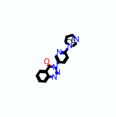 O=c1c2ccccc2nnn1-c1ccc(N2CCN3CCC2CC3)nc1